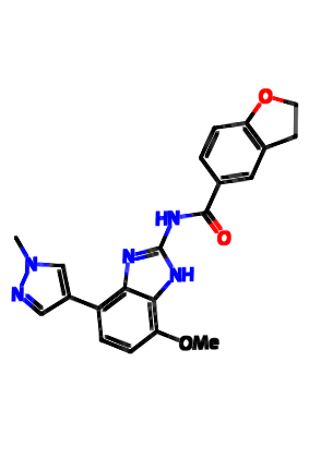 COc1ccc(-c2cnn(C)c2)c2nc(NC(=O)c3ccc4c(c3)CCO4)[nH]c12